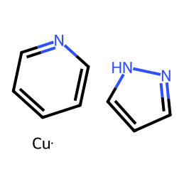 [Cu].c1ccncc1.c1cn[nH]c1